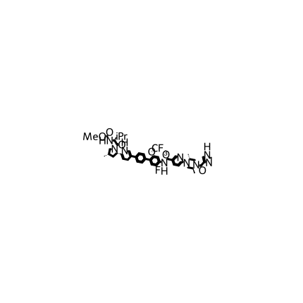 COC(=O)N[C@H](C(=O)N1C[C@@H](C)C[C@H]1C1=CCC(c2ccc(-c3cc(F)c(NC(=O)c4ccc(N5C[C@H](C)N(C(=O)c6c[nH]cn6)C[C@H]5C)nc4)cc3OC(F)(F)F)cc2)=CN1)C(C)C